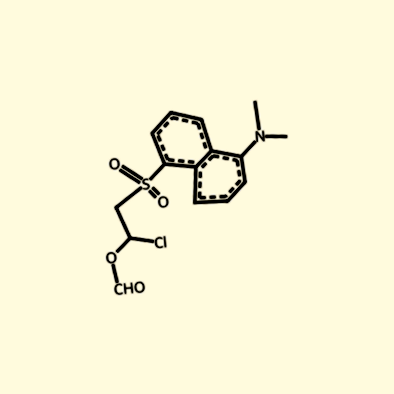 CN(C)c1cccc2c(S(=O)(=O)CC(Cl)OC=O)cccc12